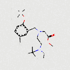 CC(C)(C)OC(=O)CN(CCN(CC(=O)O)C(C(=O)O)(C(C)(C)C)C(C)(C)C)Cc1cc([N+](=O)[O-])ccc1O[Si](C)(C)C(C)(C)C